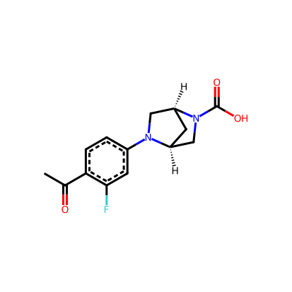 CC(=O)c1ccc(N2C[C@@H]3C[C@H]2CN3C(=O)O)cc1F